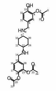 CC(=O)Oc1cc(CN[C@H]2CC[C@H](NCc3ccc(OC(C)=O)c(OC(C)=O)c3)CC2)ccc1O